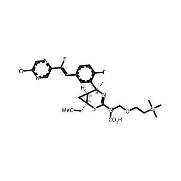 COC[C@]12C[C@H]1[C@@](C)(c1cc(/C=C(\F)c3cnc(Cl)cn3)ccc1F)N=C(N(COCC[Si](C)(C)C)C(=O)O)S2